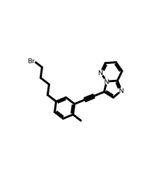 Cc1ccc(CCCCBr)cc1C#Cc1cnc2cccnn12